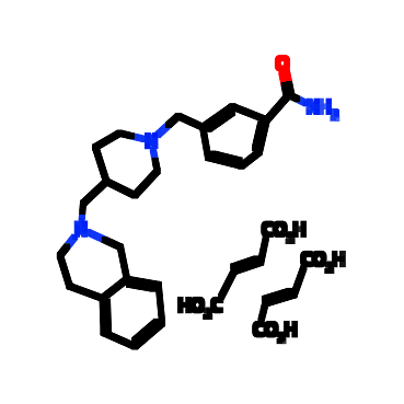 NC(=O)c1cccc(CN2CCC(CN3CCc4ccccc4C3)CC2)c1.O=C(O)/C=C/C(=O)O.O=C(O)/C=C/C(=O)O